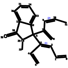 C=C/C=C(\C=C)C1(C(=C)/C=C\C)c2ccccc2C(=O)N1C